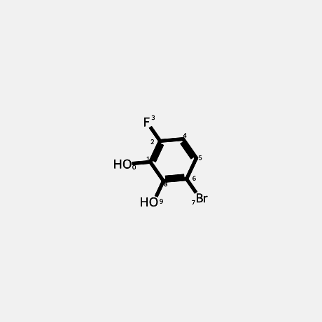 Oc1c(F)ccc(Br)c1O